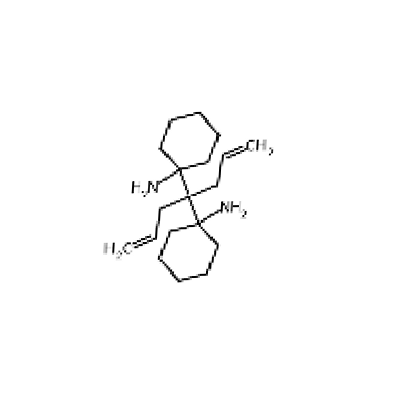 C=CCC(CC=C)(C1(N)CCCCC1)C1(N)CCCCC1